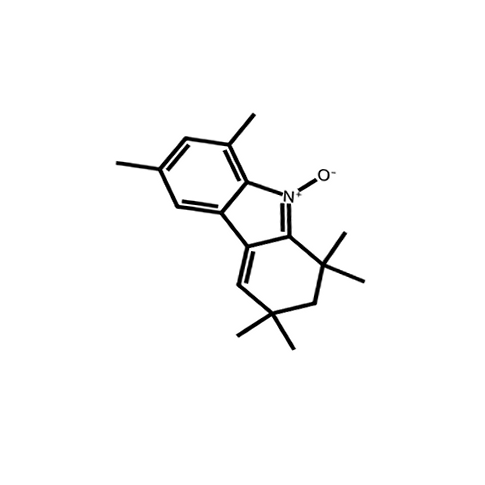 Cc1cc(C)c2c(c1)C1=CC(C)(C)CC(C)(C)C1=[N+]2[O-]